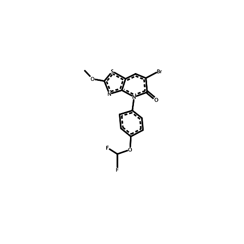 COc1nc2c(cc(Br)c(=O)n2-c2ccc(OC(F)F)cc2)s1